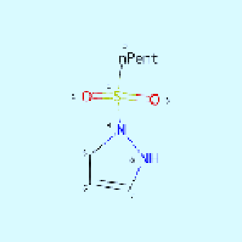 CCCCCS(=O)(=O)N1CC=CN1